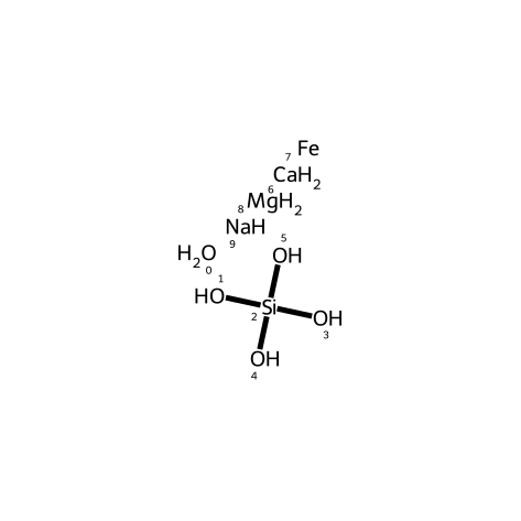 O.O[Si](O)(O)O.[CaH2].[Fe].[MgH2].[NaH]